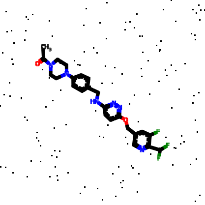 CC(=O)N1CCN(c2ccc(CNc3ccc(OCc4cnc(C(F)F)c(F)c4)nn3)cc2)CC1